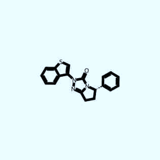 O=c1n(-c2csc3ccccc23)nc2n1[C@H](c1ccccc1)CC2